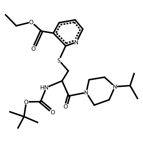 CCOC(=O)c1cccnc1SCC(NC(=O)OC(C)(C)C)C(=O)N1CCN(C(C)C)CC1